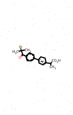 CC(C(=O)O)C12CCC(c3ccc(C(=O)C(C)(C)Br)cc3)(CC1)CC2